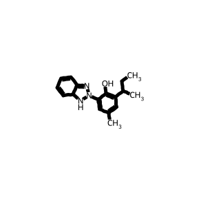 CCC(C)c1cc(C)cc(N2N=C3C=CC=CC3N2)c1O